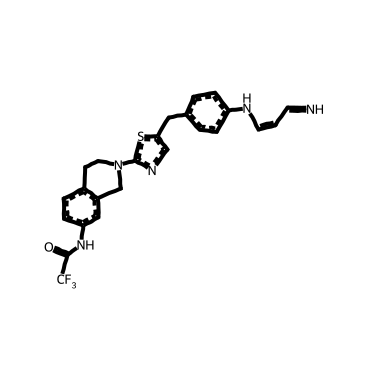 N=C/C=C\Nc1ccc(Cc2cnc(N3CCc4ccc(NC(=O)C(F)(F)F)cc4C3)s2)cc1